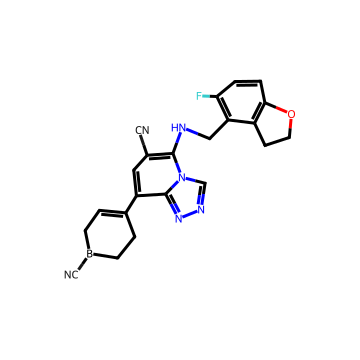 N#CB1CC=C(c2cc(C#N)c(NCc3c(F)ccc4c3CCO4)n3cnnc23)CC1